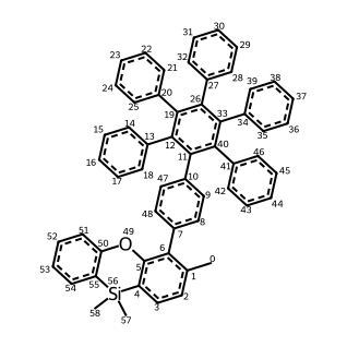 Cc1ccc2c(c1-c1ccc(-c3c(-c4ccccc4)c(-c4ccccc4)c(-c4ccccc4)c(-c4ccccc4)c3-c3ccccc3)cc1)Oc1ccccc1[Si]2(C)C